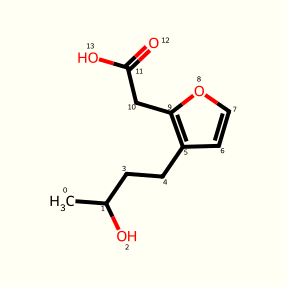 CC(O)CCc1ccoc1CC(=O)O